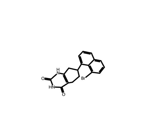 O=c1[nH]c2c(c(=O)[nH]1)CCC(c1cccc3cccc(Br)c13)C2